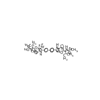 COC(=O)N[C@H](C(=O)N1CCCC1c1ncc(-c2ccc(-c3ccc(-c4[nH]c([C@@H]5CCCN5C(=O)[C@H](C(C)C)N(C)C(=O)O)nc4C(F)(F)F)cc3)cc2)[nH]1)C(C)C